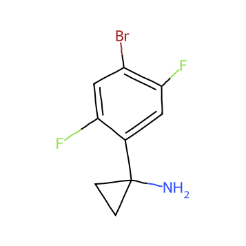 NC1(c2cc(F)c(Br)cc2F)CC1